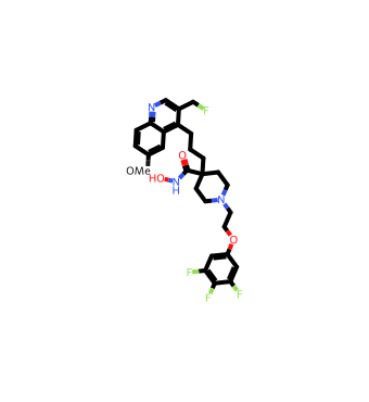 COc1ccc2ncc(CF)c(CCCC3(C(=O)NO)CCN(CCOc4cc(F)c(F)c(F)c4)CC3)c2c1